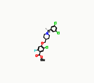 C[C@H](c1cc(Cl)cc(Cl)c1)N1CCC(COc2cc(F)c(C(=O)OC(C)(C)C)cc2Cl)CC1